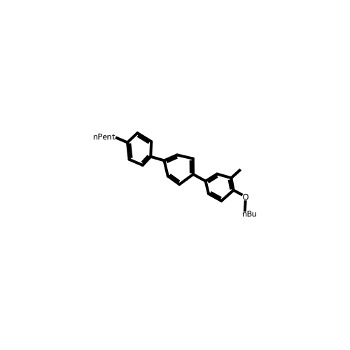 CCCCCc1ccc(-c2ccc(-c3ccc(OCCCC)c(C)c3)cc2)cc1